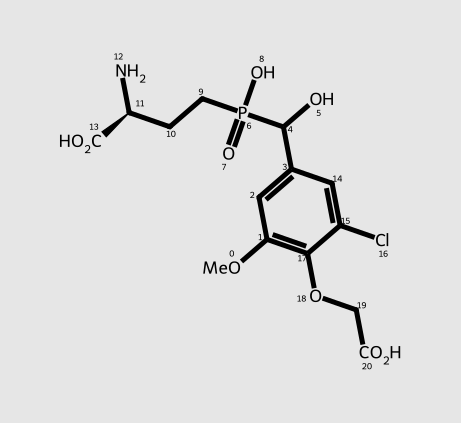 COc1cc(C(O)P(=O)(O)CC[C@H](N)C(=O)O)cc(Cl)c1OCC(=O)O